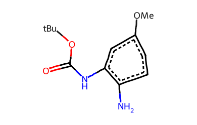 COc1ccc(N)c(NC(=O)OC(C)(C)C)c1